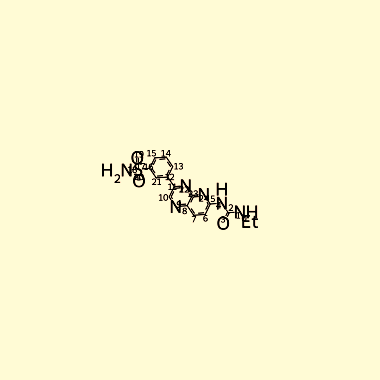 CCNC(=O)Nc1ccc2ncc(-c3cccc(S(N)(=O)=O)c3)nc2n1